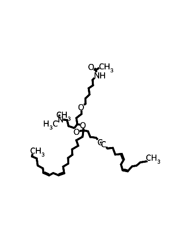 CCCCC/C=C\C/C=C\CCCCCCCCC1(CCCCCCCC/C=C\C/C=C\CCCCC)OC(CCOCCCCCCNC(C)=O)C(CCN(C)C)O1